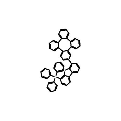 c1ccc(S(c2ccccc2)(c2ccccc2)c2cccc3c2oc2c(-c4ccc5c(c4)-c4ccccc4-c4ccccc4-c4ccccc4-5)cccc23)cc1